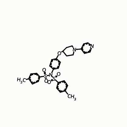 Cc1ccc(S(=O)(=O)N(c2ccc(OC3CCN(c4ccncc4)CC3)cc2)S(=O)(=O)c2ccc(C)cc2)cc1